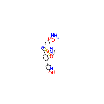 CC(C)(C)NS(=O)(=O)c1cc(-c2ccc(O)nc2)ccc1-c1cnc([C@H]2CC[C@H](OC(N)=O)CC2)s1